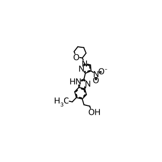 CCc1cc2[nH]c(-c3nn(C4CCCCO4)cc3[N+](=O)[O-])nc2cc1CCO